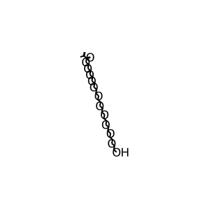 C=C(C)C(=O)OCOCOCOCOCCOCCOCCOCCOCCOCCOCCO